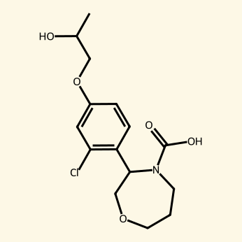 CC(O)COc1ccc(C2COCCCN2C(=O)O)c(Cl)c1